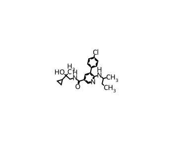 CCC(C)Nc1ncc(C(=O)NCC(C)(O)C2CC2)cc1-c1ccc(Cl)cc1